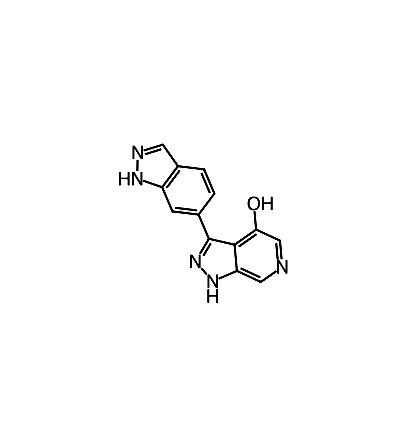 Oc1cncc2[nH]nc(-c3ccc4cn[nH]c4c3)c12